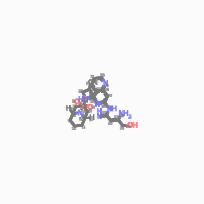 N#CC1CN(S(=O)(=O)N2[C@@H]3CCC[C@H]2C[C@H](Nc2nc(NC(=N)/C=C(\N)CO)cc4ncccc24)C3)C1